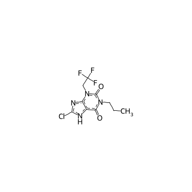 CCCn1c(=O)c2[nH]c(Cl)nc2n(CC(F)(F)F)c1=O